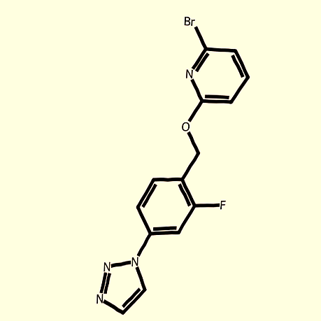 Fc1cc(-n2ccnn2)ccc1COc1cccc(Br)n1